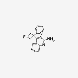 Nc1nc(C2(c3ccccn3)CC(F)C2)c2ccccc2n1